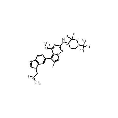 [2H]C([2H])([2H])N1CC[C@@H](Nc2nc(OC)c3c(-c4ccc5nnn(C[C@@H](C)F)c5c4)c(F)cn3n2)C(F)(F)C1